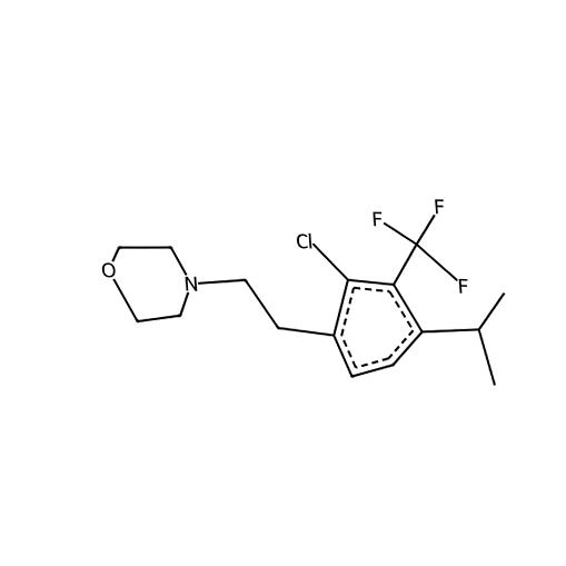 CC(C)c1ccc(CCN2CCOCC2)c(Cl)c1C(F)(F)F